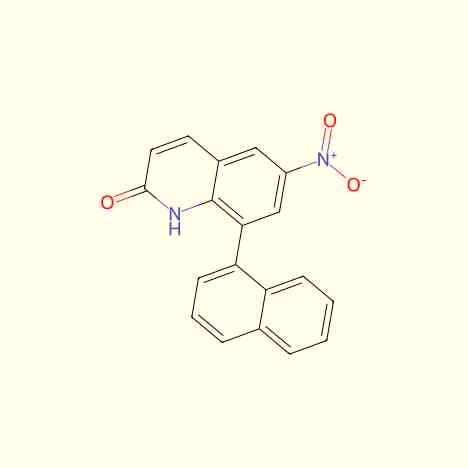 O=c1ccc2cc([N+](=O)[O-])cc(-c3cccc4ccccc34)c2[nH]1